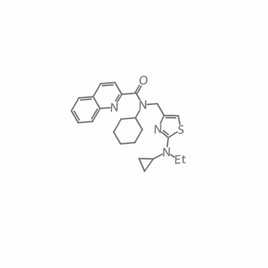 CCN(c1nc(CN(C(=O)c2ccc3ccccc3n2)C2CCCCC2)cs1)C1CC1